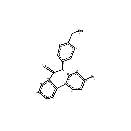 CCC(C)Cc1ccc(CC(=O)c2ccccc2-c2ccc(Br)cc2)cc1